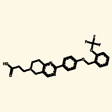 O=C(O)CCN1CCc2nc(-c3ccc(OCc4ccccc4OC(F)(F)F)cc3)ncc2C1